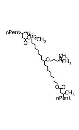 C=C=C=C=CC(CCCCC)CC(=O)OCCCCCCCCC(CCCCCCCCOC(=O)CC(C)CCCCC)OCCCN(C)C